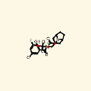 CC(C)(CO)NC(=O)CN1C2CCC1CC(CNC(=O)c1cc(F)cc(Cl)c1)C2